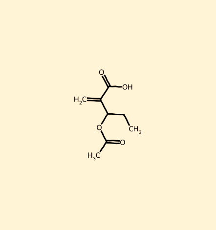 C=C(C(=O)O)C(CC)OC(C)=O